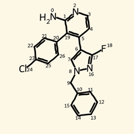 Nc1nccc(-c2cn(Cc3ccccc3)nc2F)c1-c1ccc(Cl)cc1